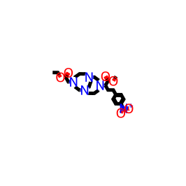 CCOC(=O)CN1CCCN2CCN(CCCN(C(CCc3ccc([N+](=O)[O-])cc3)C(=O)OC)CC2)CC1